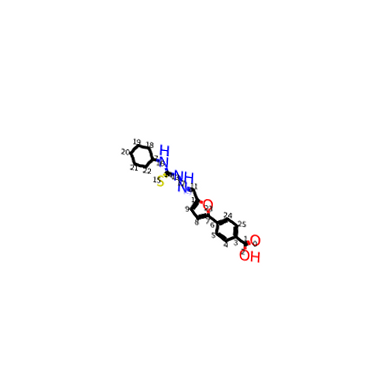 O=C(O)c1ccc(-c2ccc(/C=N/NC(=S)NC3CCCCC3)o2)cc1